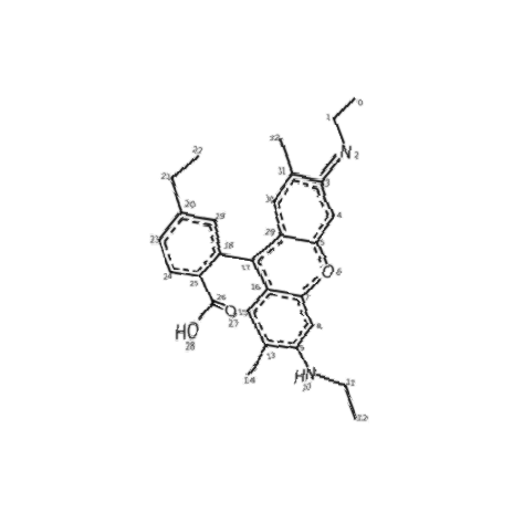 CC/N=c1/cc2oc3cc(NCC)c(C)cc3c(-c3cc(CC)ccc3C(=O)O)c-2cc1C